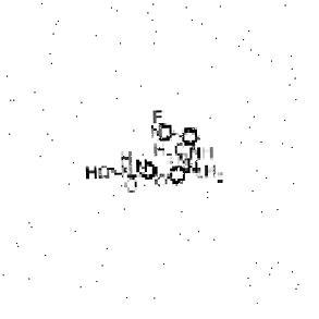 Cc1c(Nc2nc3cc(Oc4ccnc(C(=O)NCCO)c4)ccc3n2C)cccc1-c1ccnc(F)c1